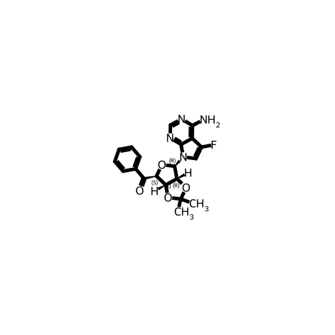 CC1(C)O[C@@H]2[C@H](O1)[C@@H](C(=O)c1ccccc1)O[C@H]2n1cc(F)c2c(N)ncnc21